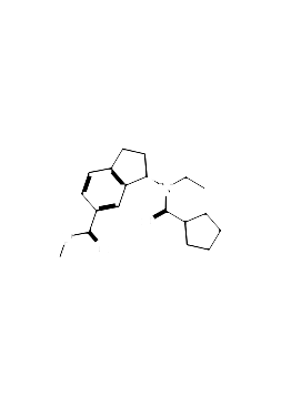 CCN(C(=O)C1CCCC1)[C@@H]1CCc2ccc(C(=O)OC)cc21